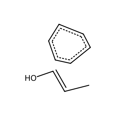 CC=CO.c1ccccc1